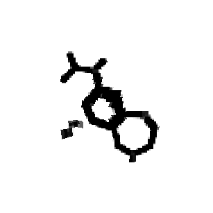 CC(C)N(C)c1ccc2c(c1)OCCNC2.Cl.Cl